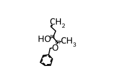 C=CC[C@@H](O)[C@@H](C)OCc1ccccc1